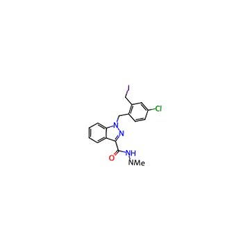 CNNC(=O)c1nn(Cc2ccc(Cl)cc2CI)c2ccccc12